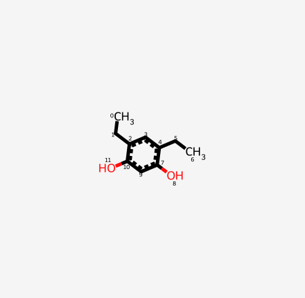 CCc1cc(CC)c(O)cc1O